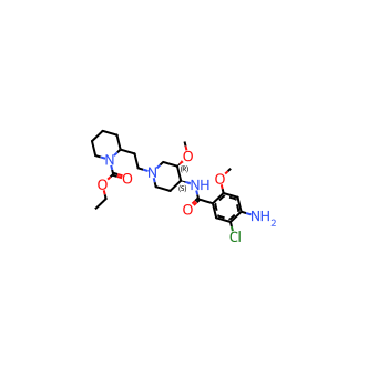 CCOC(=O)N1CCCCC1CCN1CC[C@H](NC(=O)c2cc(Cl)c(N)cc2OC)[C@H](OC)C1